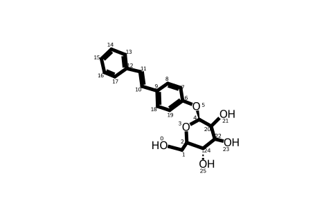 OCC1O[C@@H](Oc2ccc(/C=C/c3ccccc3)cc2)C(O)C(O)[C@@H]1O